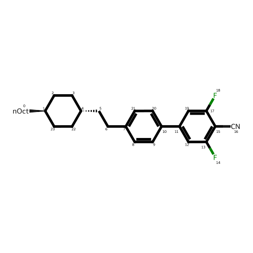 CCCCCCCC[C@H]1CC[C@H](CCc2ccc(-c3cc(F)c(C#N)c(F)c3)cc2)CC1